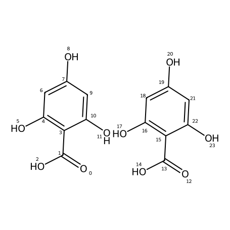 O=C(O)c1c(O)cc(O)cc1O.O=C(O)c1c(O)cc(O)cc1O